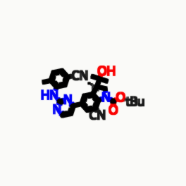 Cc1ccc(C#N)cc1Nc1nccc(-c2cc(C#N)c3c(c2)[C@@](C)(C(C)(C)O)CN3C(=O)OC(C)(C)C)n1